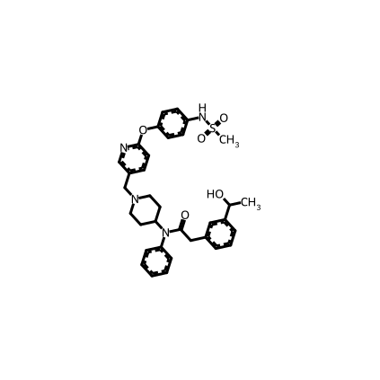 CC(O)c1cccc(CC(=O)N(c2ccccc2)C2CCN(Cc3ccc(Oc4ccc(NS(C)(=O)=O)cc4)nc3)CC2)c1